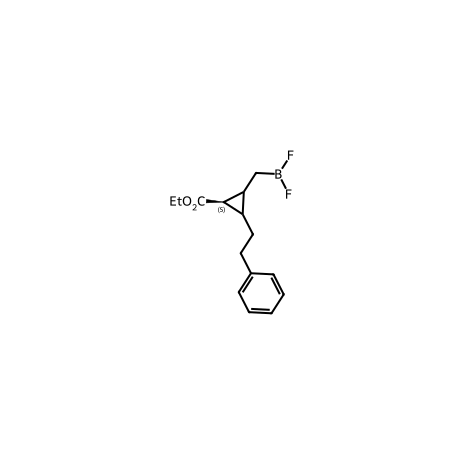 CCOC(=O)[C@@H]1C(CCc2ccccc2)C1CB(F)F